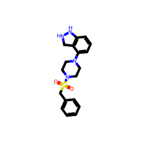 O=S(=O)(Cc1ccccc1)N1CCN(c2cccc3c2CNN3)CC1